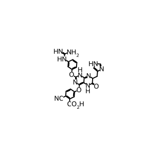 N#Cc1ccc(OC2=C3NC(=O)C(Cc4c[nH]cn4)N=C3NC(Oc3cccc(NC(=N)N)c3)=N2)cc1C(=O)O